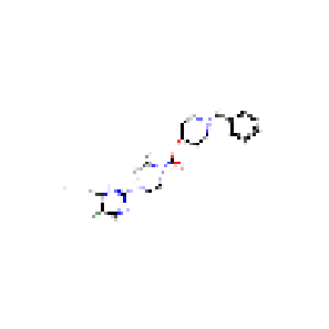 CSc1nc(N2C[C@@H](C)N(C(=O)OC3CCN(Cc4ccccc4)CC3)[C@H](C)C2)ncc1Br